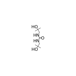 CC(C)(O)CNC(=O)NCC(C)(C)O